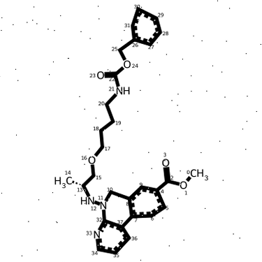 COC(=O)c1ccc2c(c1)CN(N[C@H](C)COCCCCNC(=O)OCc1ccccc1)c1ncccc1-2